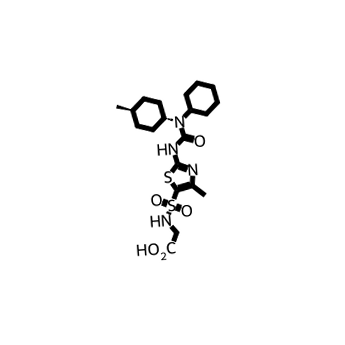 Cc1nc(NC(=O)N(C2CCCCC2)[C@H]2CC[C@H](C)CC2)sc1S(=O)(=O)NCC(=O)O